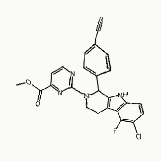 COC(=O)c1ccnc(N2CCc3c([nH]c4ccc(Cl)c(F)c34)C2c2ccc(C#N)cc2)n1